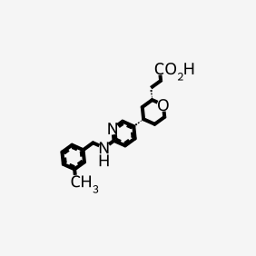 Cc1cccc(CNc2ccc([C@H]3CCO[C@@H](CCC(=O)O)C3)cn2)c1